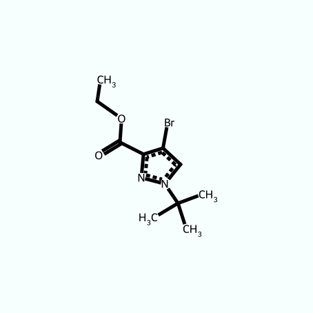 CCOC(=O)c1nn(C(C)(C)C)cc1Br